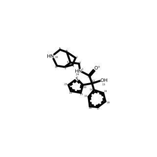 O=C(NCC1C2CCC1CNC2)C(O)(c1ccccc1)c1cccs1